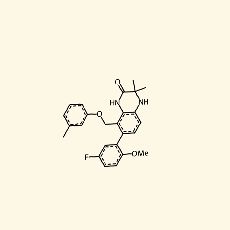 COc1ccc(F)cc1-c1ccc2c(c1COc1cccc(C)c1)NC(=O)C(C)(C)N2